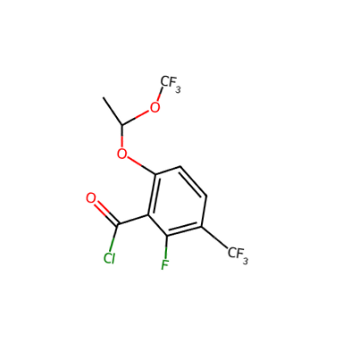 CC(Oc1ccc(C(F)(F)F)c(F)c1C(=O)Cl)OC(F)(F)F